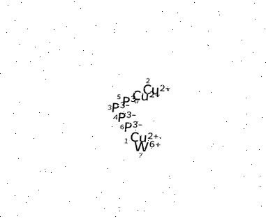 [Cu+2].[Cu+2].[Cu+2].[P-3].[P-3].[P-3].[P-3].[W+6]